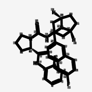 Cc1ccccc1NC(=O)[C@@H]1CCCN1C(=O)NC1C[C@H]2CC[C@H](C1)N2Cc1ccc2cc(F)ccc2c1